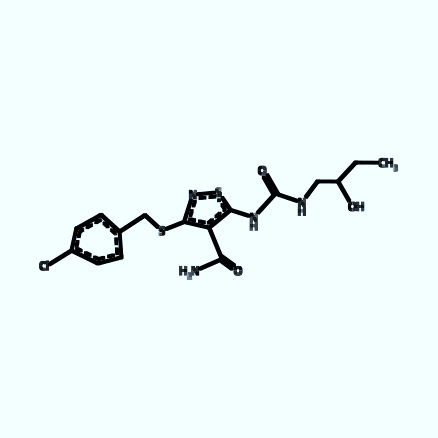 CCC(O)CNC(=O)Nc1snc(SCc2ccc(Cl)cc2)c1C(N)=O